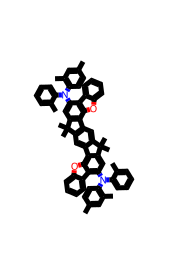 Cc1ccc(N(c2ccccc2C)c2cc3c(c4oc5ccccc5c24)-c2cc4c(cc2C3(C)C)-c2c(cc(N(c3ccccc3C)c3ccc(C)cc3C)c3c2oc2ccccc23)C4(C)C)c(C)c1